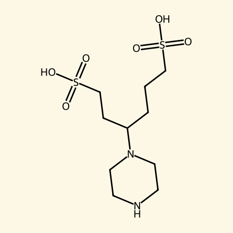 O=S(=O)(O)CCCC(CCS(=O)(=O)O)N1CCNCC1